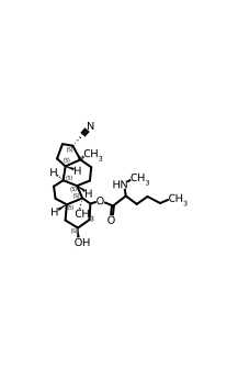 CCCCC(NC)C(=O)OC1C[C@@H](O)C[C@@H]2CC[C@H]3[C@@H]4CC[C@H](C#N)[C@@]4(C)CC[C@@H]3[C@@]12C